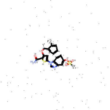 C[C@@H](Oc1cc(-n2cnc3cc(OS(=O)(=O)C(F)(F)F)ccc32)sc1C(N)=O)c1ccccc1C(F)(F)F